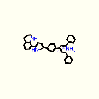 N/C(=C\C(=C/Cc1ccccc1)c1c#cc(C2=CC=C(c3cccc4c3NCC=C4)NC2)cc1)C1=CC=CCC1